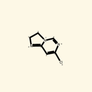 ClC1=CC2=NCCN2C=N1